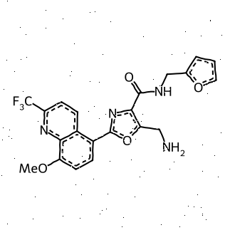 COc1ccc(-c2nc(C(=O)NCc3ccco3)c(CN)o2)c2ccc(C(F)(F)F)nc12